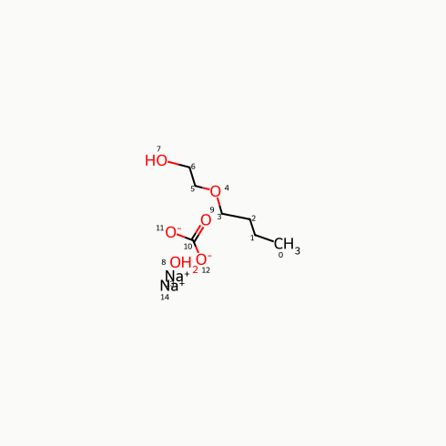 CCCCOCCO.O.O=C([O-])[O-].[Na+].[Na+]